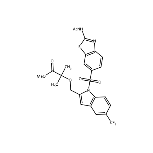 COC(=O)C(C)(C)OCc1cc2cc(C(F)(F)F)ccc2n1S(=O)(=O)c1ccc2nc(NC(C)=O)sc2c1